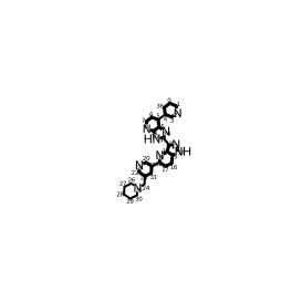 c1cncc(-c2ccnc3[nH]c(-c4n[nH]c5ccc(-c6cncc(CN7CCCCC7)c6)nc45)nc23)c1